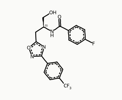 O=C(N[C@H](CO)Cc1nc(-c2ccc(C(F)(F)F)cc2)no1)c1ccc(F)cc1